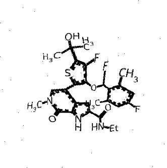 CCNC(=O)c1cc2c(-c3sc(C(C)(C)O)c(F)c3OC(F)c3c(C)cc(F)cc3C)cn(C)c(=O)c2[nH]1